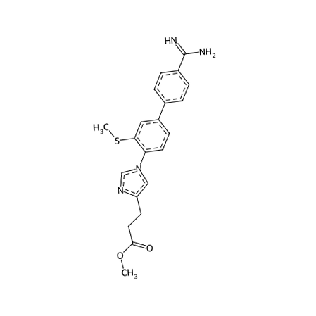 COC(=O)CCc1cn(-c2ccc(-c3ccc(C(=N)N)cc3)cc2SC)cn1